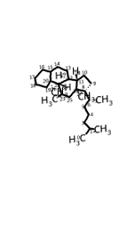 CC(C)CCC[C@@H](C)[C@H]1CC[C@H]2[C@@H]3CCC4CCCC[C@]4(C)[C@H]3C(C)C[C@]12C